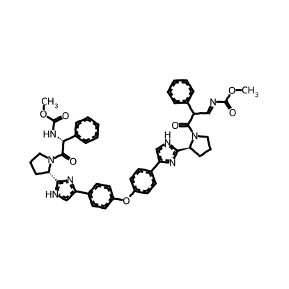 COC(=O)/N=C/C(C(=O)N1CCC[C@H]1c1nc(-c2ccc(Oc3ccc(-c4c[nH]c([C@@H]5CCCN5C(=O)[C@H](NC(=O)OC)c5ccccc5)n4)cc3)cc2)c[nH]1)c1ccccc1